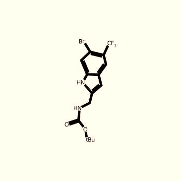 CC(C)(C)OC(=O)NCc1cc2cc(C(F)(F)F)c(Br)cc2[nH]1